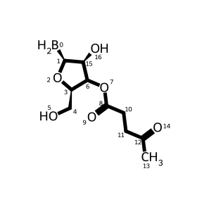 B[C@@H]1O[C@H](CO)C(OC(=O)CCC(C)=O)[C@@H]1O